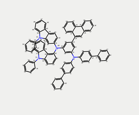 c1ccc(-c2ccc(N(c3ccc(-c4ccccc4)cc3)c3cc(-c4cc5ccccc5c5ccccc45)cc(N(c4ccc5c6ccccc6n(-c6ccccc6)c5c4)c4cccc5c4c4ccccc4n5-c4ccccc4)c3)cc2)cc1